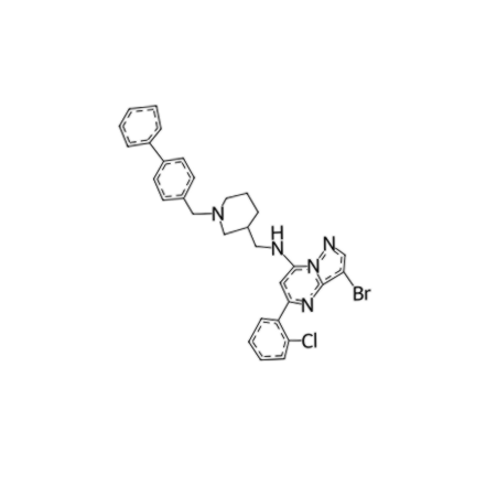 Clc1ccccc1-c1cc(NCC2CCCN(Cc3ccc(-c4ccccc4)cc3)C2)n2ncc(Br)c2n1